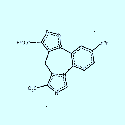 CCCc1ccc2c(c1)-n1nnc(C(=O)OCC)c1Cc1c(C(=O)O)ncn1-2